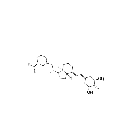 C=C1[C@H](O)CC(=C/C=C2\CCC[C@]3(C)[C@@H]([C@H](C)CN4CCC[C@H](C(F)F)C4)CC[C@@H]23)C[C@H]1O